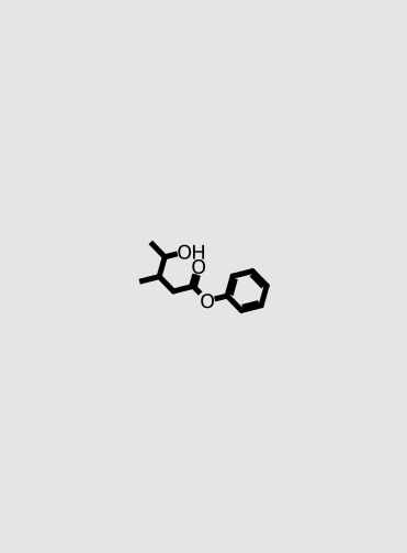 CC(O)C(C)CC(=O)Oc1ccccc1